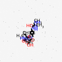 CNCC(NC)[C@H](O)NCc1ccc(CNC(=O)[C@H](CC(=O)O)NC(=O)[C@H](CC(C)C)NC(C)=O)cc1